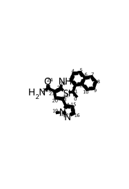 CC(c1cccc2ccccc12)[SH]1C(c2ccnn2C)=CC(C(N)=O)=C1N